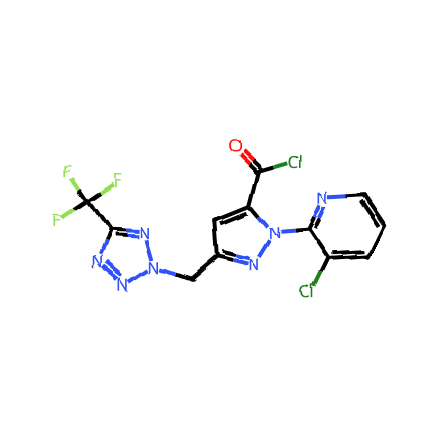 O=C(Cl)c1cc(Cn2nnc(C(F)(F)F)n2)nn1-c1ncccc1Cl